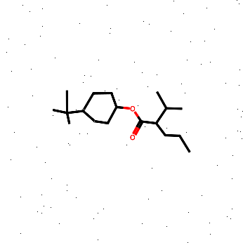 CCCC(C(=O)OC1CCC(C(C)(C)C)CC1)C(C)C